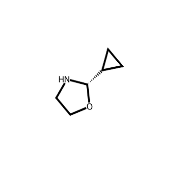 C1CO[C@@H](C2CC2)N1